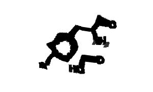 NC(C=O)Cc1ccc(Br)cc1.O=CO